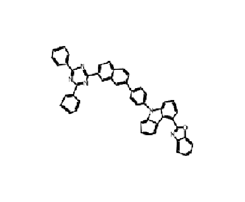 c1ccc(-c2nc(-c3ccccc3)nc(-c3ccc4ccc(-c5ccc(-n6c7ccccc7c7c(-c8nc9ccccc9o8)cccc76)cc5)cc4c3)n2)cc1